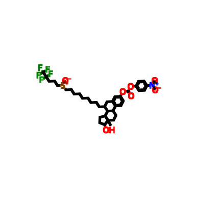 CC12CCC3c4ccc(OC(=O)Oc5ccc([N+](=O)[O-])cc5)cc4CC(CCCCCCCCC[S+]([O-])CCCC(F)(F)C(F)(F)F)C3C1CCC2O